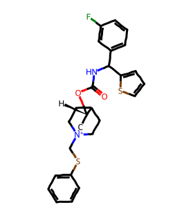 O=C(NC(c1cccc(F)c1)c1cccs1)O[C@H]1C[N+]2(CSc3ccccc3)CCC1CC2